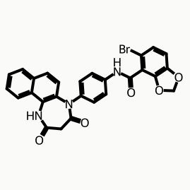 O=C1CC(=O)N(c2ccc(NC(=O)c3c(Br)ccc4c3OCO4)cc2)c2ccc3ccccc3c2N1